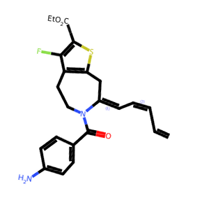 C=C/C=C\C=C1/Cc2sc(C(=O)OCC)c(F)c2CCN1C(=O)c1ccc(N)cc1